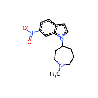 CN1CCCC(n2ccc3ccc([N+](=O)[O-])cc32)CC1